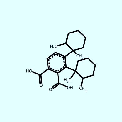 CC1CCCCC1(C)c1ccc(C(=O)O)c(C(=O)O)c1C1(C)CCCCC1C